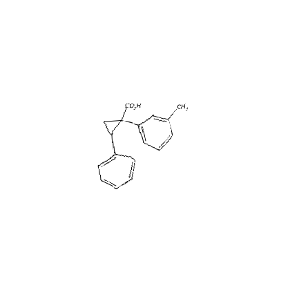 Cc1cccc(C2(C(=O)O)CC2c2ccccc2)c1